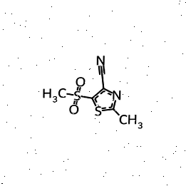 Cc1nc(C#N)c(S(C)(=O)=O)s1